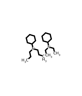 CCCN(CCC)C1CCCCC1.CCN(CC)C1CCCCC1